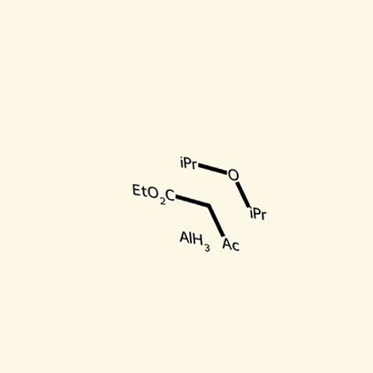 CC(C)OC(C)C.CCOC(=O)CC(C)=O.[AlH3]